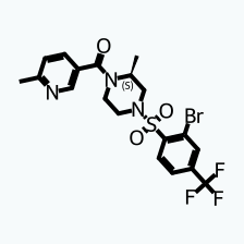 Cc1ccc(C(=O)N2CCN(S(=O)(=O)c3ccc(C(F)(F)F)cc3Br)C[C@@H]2C)cn1